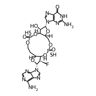 Nc1nc2c(ncn2[C@@H]2O[C@@H]3CO[P@](=O)(S)O[C@H]4[C@@H](F)[C@H](n5cnc6c(N)ncnc65)O[C@@H]4CCO[P@@](=O)(S)O[C@H]3[C@H]2O)c(=O)[nH]1